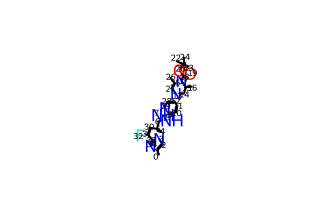 Cc1cn2cc(C(=N)Nc3ccc(N4CC(C)N(C(=O)OC(C)(C)C)C(C)C4)cn3)cc(F)c2n1